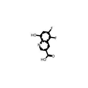 O=C(O)c1cnc2c(O)cc(F)c(F)c2c1